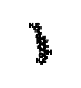 C=CC(=O)Nc1ccc2nc(OCCCC)ccc2c1